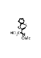 CON=C(C(=O)O)C1=CSc2ccccc2O1